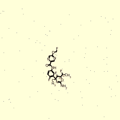 C[C@H](F)[C@H]1OC(N)=N[C@](C)(c2cc(NC(=O)c3cnc(OCF)cn3)ccc2F)[C@H]1F